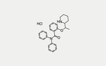 CC(Oc1ccccc1C(=O)N(c1ccccc1)c1ccccc1)C1CCCCN1.Cl